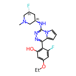 CCOc1cc(O)c(-c2nnc(N[C@@H]3C[C@@H](F)CN(C)C3)n3cccc23)c(F)c1